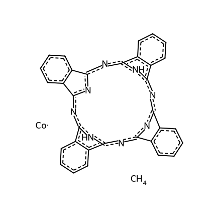 C.[Co].c1ccc2c(c1)-c1nc-2nc2[nH]c(nc3nc(nc4[nH]c(n1)c1ccccc41)-c1ccccc1-3)c1ccccc21